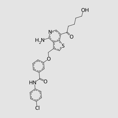 Nc1ncc(C(=O)CCCCO)c2scc(COc3cccc(C(=O)Nc4ccc(Cl)cc4)c3)c12